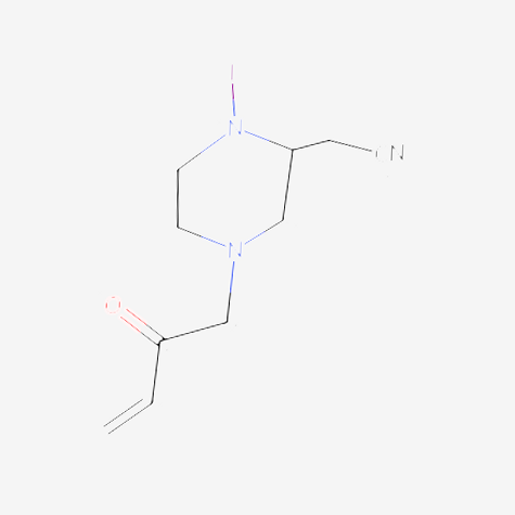 C=CC(=O)CN1CCN(I)C(CC#N)C1